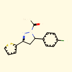 CCCCC(=O)N1N=C(c2cccs2)CC1c1ccc(Cl)cc1